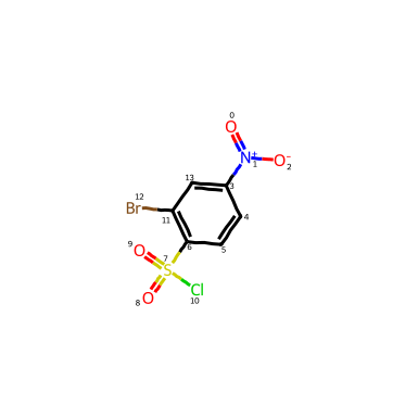 O=[N+]([O-])c1ccc(S(=O)(=O)Cl)c(Br)c1